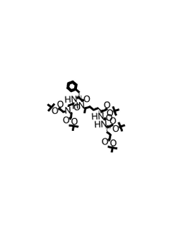 CC(CCC[C@H](NC(=O)N[C@@H](CCC(=O)OC(C)(C)C)C(=O)OC(C)(C)C)C(=O)OC(C)(C)C)NC(=O)[C@@H](Cc1ccccc1)NC(=O)CN(CC(=O)OC(C)(C)C)CC(=O)OC(C)(C)C